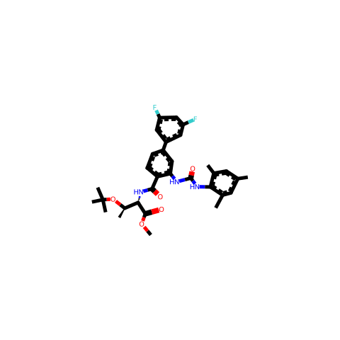 COC(=O)[C@@H](NC(=O)c1ccc(-c2cc(F)cc(F)c2)cc1NC(=O)Nc1c(C)cc(C)cc1C)[C@@H](C)OC(C)(C)C